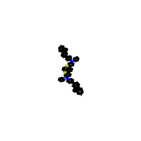 CC1(C)C2=C(C=CCC2)c2ccc(-c3ccc(N(c4ccccc4)c4ccc5c(c4)Sc4ccc6c7c(ccc-5c47)C4=C(C=C(N(c5ccccc5)c5ccc(-c7ccc8c(c7)C(C)(C)c7ccccc7-8)cc5)CC4)S6)cc3)cc21